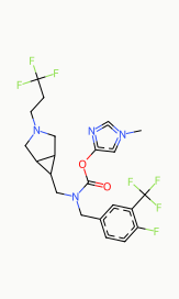 Cn1cnc(OC(=O)N(Cc2ccc(F)c(C(F)(F)F)c2)CC2C3CN(CCC(F)(F)F)CC32)c1